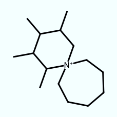 CC1C[N+]2(CCCCCC2)C(C)C(C)C1C